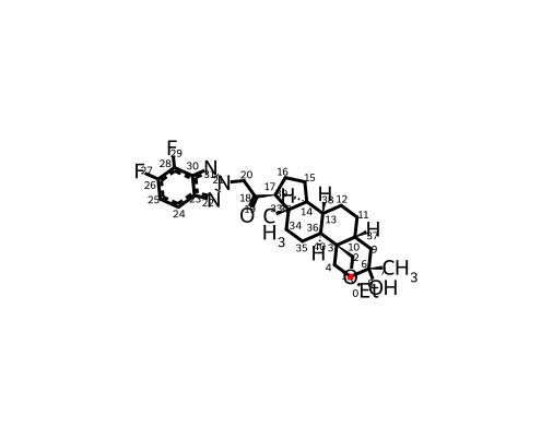 CCOC[C@]12CC[C@@](C)(O)C[C@H]1CC[C@H]1[C@@H]3CC[C@H](C(=O)Cn4nc5ccc(F)c(F)c5n4)[C@@]3(C)CC[C@@H]12